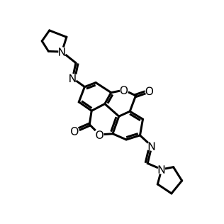 O=c1oc2cc(N=CN3CCCC3)cc3c(=O)oc4cc(N=CN5CCCC5)cc1c4c23